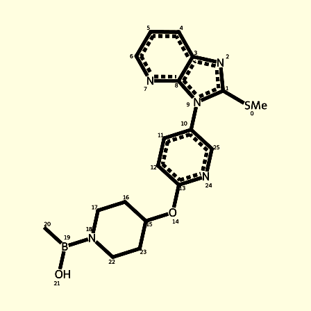 CSc1nc2cccnc2n1-c1ccc(OC2CCN(B(C)O)CC2)nc1